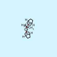 CC(C)O[C@H]1C[C@H]2CC[C@@H](C1)N2CCO[C@@H]1C[C@H]2CC[C@@H](C1)N2C